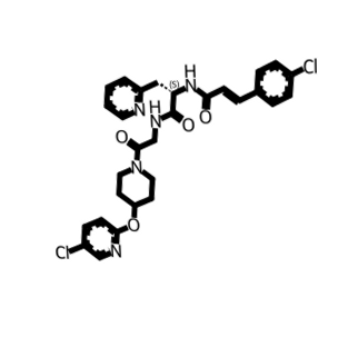 O=C(C=Cc1ccc(Cl)cc1)N[C@@H](Cc1ccccn1)C(=O)NCC(=O)N1CCC(Oc2ccc(Cl)cn2)CC1